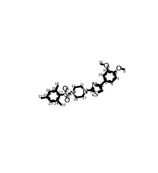 COc1ccc(-c2csc(N3CCN(S(=O)(=O)c4c(C)cc(C)cc4C)CC3)n2)cc1OC